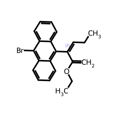 C=C(OCC)/C(=C\CC)c1c2ccccc2c(Br)c2ccccc12